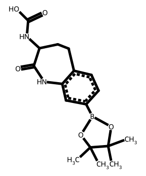 CC1(C)OB(c2ccc3c(c2)NC(=O)C(NC(=O)O)CC3)OC1(C)C